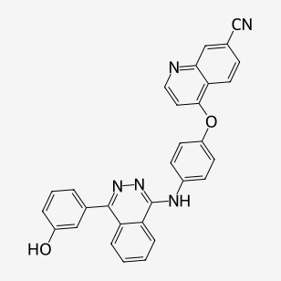 N#Cc1ccc2c(Oc3ccc(Nc4nnc(-c5cccc(O)c5)c5ccccc45)cc3)ccnc2c1